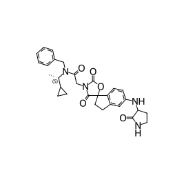 C[C@@H](C1CC1)N(Cc1ccccc1)C(=O)CN1C(=O)OC2(CCc3cc(NC4CCNC4=O)ccc32)C1=O